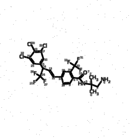 CC(C)(CN)NC(=O)c1ccc(/C=C/C(c2cc(Cl)c(Cl)c(Cl)c2)C(F)(F)F)cc1C(F)(F)F